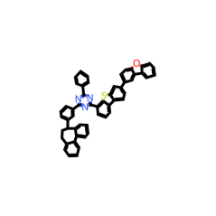 c1ccc(-c2nc(-c3cccc(C4CCc5ccccc5-c5ccccc54)c3)nc(-c3cccc4c3sc3cc(-c5ccc6oc7ccccc7c6c5)ccc34)n2)cc1